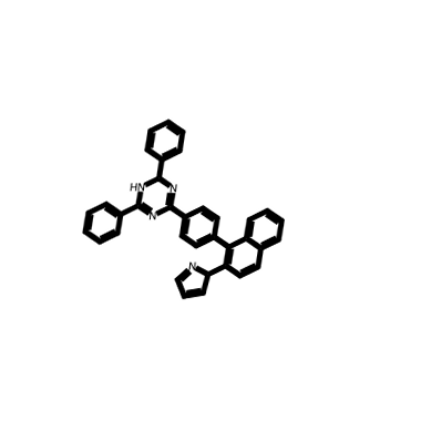 C1=CC(c2ccc3ccccc3c2-c2ccc(C3=NC(c4ccccc4)NC(c4ccccc4)=N3)cc2)N=C1